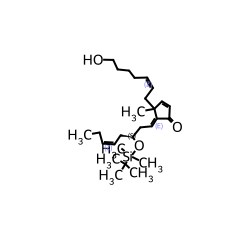 CC/C=C\C[C@@H](C/C=C1/C(=O)C=CC1(C)C/C=C\CCCCO)O[Si](C)(C)C(C)(C)C